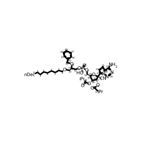 CCCCCCCCCCCCCCCCCCOC[C@H](COP(=O)(O)OC[C@H]1O[C@@](C#N)(c2ccc3c(N)ncnn23)[C@H](OC(=O)C(C)C)[C@@H]1OC(=O)C(C)C)OCc1ccccc1